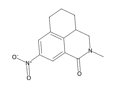 CN1CC2CCCc3cc([N+](=O)[O-])cc(c32)C1=O